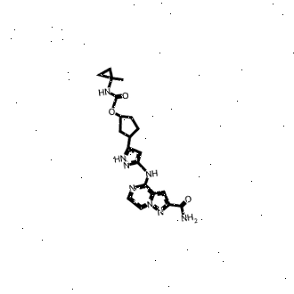 CC1(NC(=O)OC2CCC(c3cc(Nc4nccn5nc(C(N)=O)cc45)n[nH]3)C2)CC1